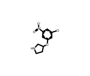 O=[N+]([O-])c1cc(Cl)cc(OC2CCNC2)c1